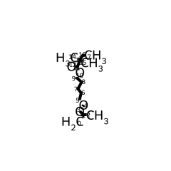 C=C(C)OOCCCCCOC(=O)C(C)(C)CC